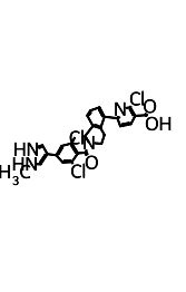 CN/C=C(\C=N)c1cc(Cl)c(C(=O)N2CCc3c(cccc3-c3ccc(C(=O)O)c(Cl)n3)C2)c(Cl)c1